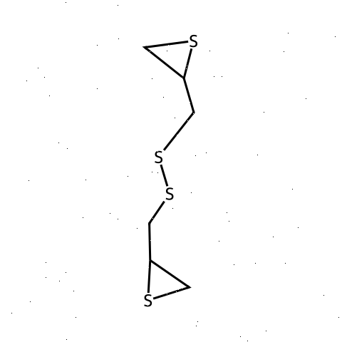 C(SSCC1CS1)C1CS1